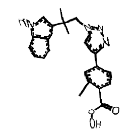 Cc1cc(-c2cn(CC(C)(C)c3c[nH]c4ccccc34)nn2)ccc1C(=O)OO